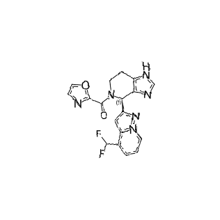 O=C(c1ncco1)N1CCc2[nH]cnc2[C@H]1c1cc2c(C(F)F)cccn2n1